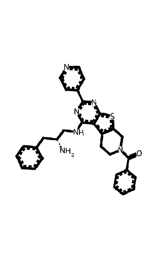 N[C@@H](CNc1nc(-c2ccncc2)nc2sc3c(c12)CCN(C(=O)c1ccccc1)C3)Cc1ccccc1